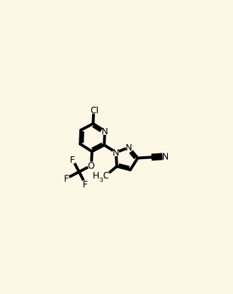 Cc1cc(C#N)nn1-c1nc(Cl)ccc1OC(F)(F)F